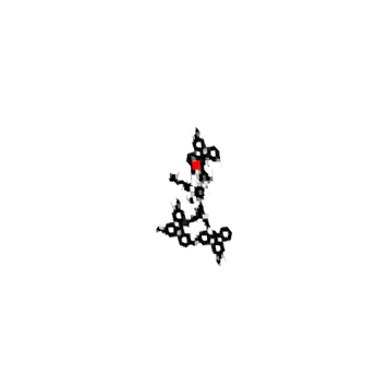 COc1ccc(C(Nc2ncnc3c2ncn3[C@@H]2O[C@H](COP(=S)(OCCSC(c3ccccc3)(c3ccc(OC)cc3)c3ccc(OC)cc3)OCCSC(c3ccccc3)(c3ccc(OC)cc3)c3ccc(OC)cc3)[C@@H](OC)[C@H]2OC(=O)CCC(C)=O)(c2ccccc2)c2ccccc2)cc1